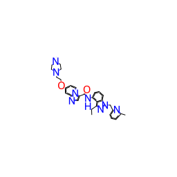 CCc1nn(Cc2cccc(C)n2)c2cccc(NC(=O)c3cnc4cc(OCCN5CCN(C)CC5)ccn34)c12